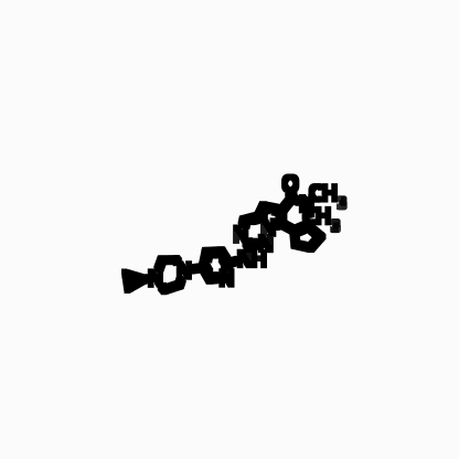 CN(C)C(=O)c1cc2cnc(Nc3ccc(N4CCN(C5CC5)CC4)cn3)nn2c1C1=CCCC1